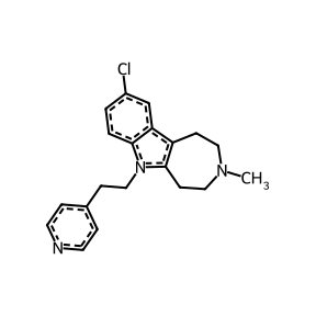 CN1CCc2c(n(CCc3ccncc3)c3ccc(Cl)cc23)CC1